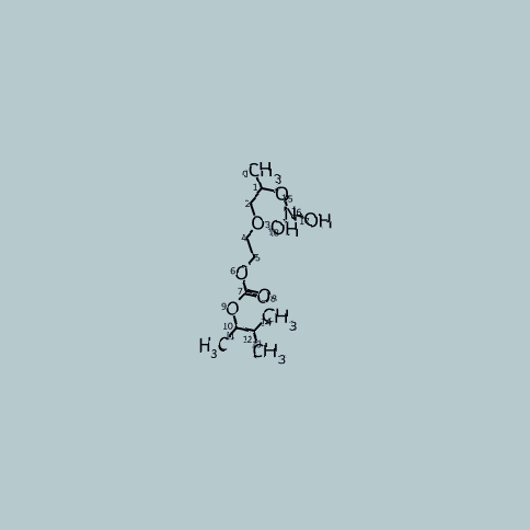 CC(COCCOC(=O)OC(C)C(C)C)ON(O)O